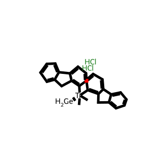 Cl.Cl.[CH3][Ti]([CH3])(=[GeH2])([c]1cccc2c1Cc1ccccc1-2)[c]1cccc2c1Cc1ccccc1-2